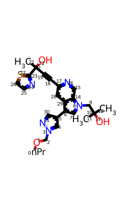 CCCOCn1cc(-c2cn(CC(C)(C)O)c3cnc(C#CC(C)(O)c4nccs4)cc23)cn1